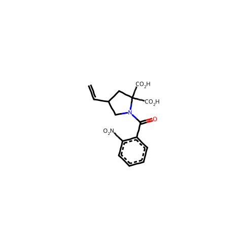 C=CC1CN(C(=O)c2ccccc2[N+](=O)[O-])C(C(=O)O)(C(=O)O)C1